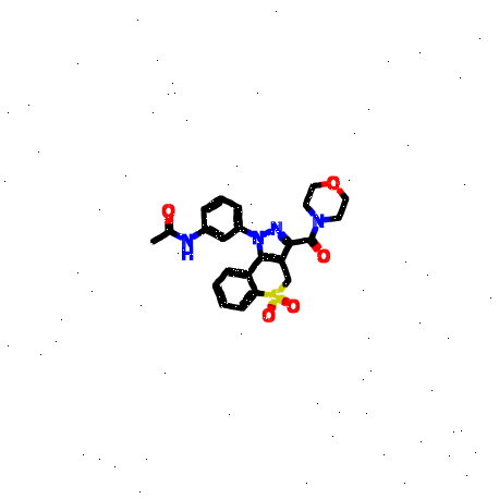 CC(=O)Nc1cccc(-n2nc(C(=O)N3CCOCC3)c3c2-c2ccccc2S(=O)(=O)C3)c1